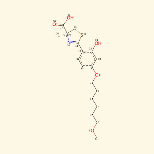 COCCCCCCOc1ccc(C2=N[C@@](C)(C(=O)O)CS2)c(O)c1